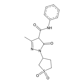 CC1=NN(C2CCS(=O)(=O)C2)C(=O)C1C(=O)Nc1ccccc1